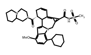 COc1ccc(C2CCCCC2)c2c1cc1n2CC2=C(C(=O)NS(C)(=O)=O)C2=C2C=CC[C@@H](C(=O)N3CCN4CCCCC4C3)C21